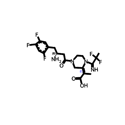 C/C(C(=O)O)=C1/CN(C(=O)C[C@H](N)Cc2cc(F)c(F)cc2F)CCN1C(=N)C(C)(F)F